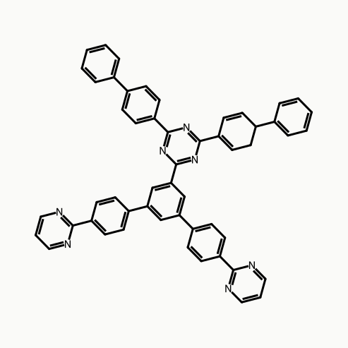 C1=CC(c2ccccc2)CC=C1c1nc(-c2ccc(-c3ccccc3)cc2)nc(-c2cc(-c3ccc(-c4ncccn4)cc3)cc(-c3ccc(-c4ncccn4)cc3)c2)n1